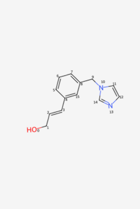 OCC=Cc1cccc(Cn2ccnc2)c1